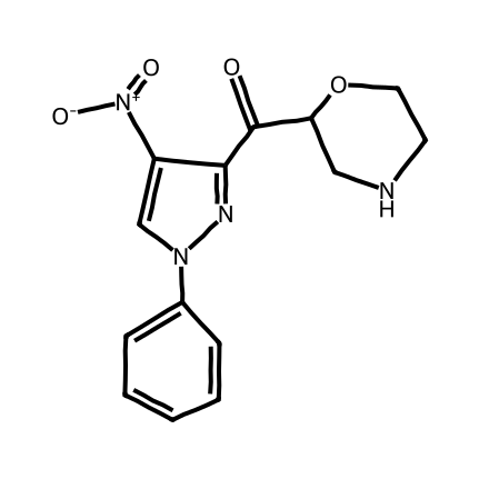 O=C(c1nn(-c2ccccc2)cc1[N+](=O)[O-])C1CNCCO1